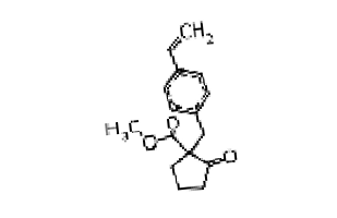 C=Cc1ccc(CC2(C(=O)OC)CCCC2=O)cc1